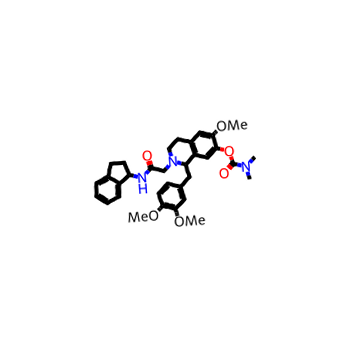 COc1ccc(CC2c3cc(OC(=O)N(C)C)c(OC)cc3CCN2CC(=O)NC2CCc3ccccc32)cc1OC